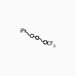 CC(C)CCCC1CCC(c2ccc(CCc3ccc(C(F)(F)F)cc3)cc2)CC1